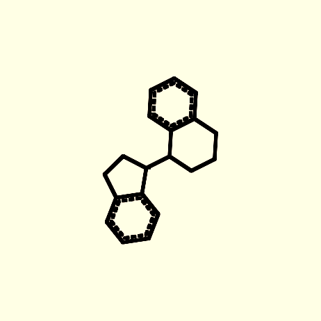 c1ccc2c(c1)CC[C]2C1CCCc2ccccc21